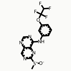 C[S+]([O-])c1ncc2ncnc(Nc3cccc(OC(F)(F)C(F)F)c3)c2n1